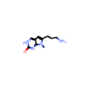 Cn1c(CCCN)cc2c[nH]c(=O)nc21